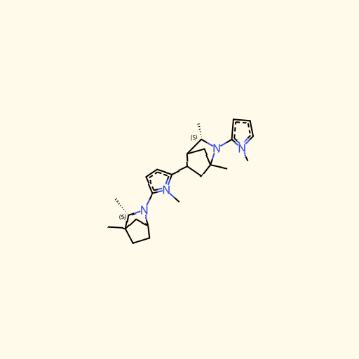 C[C@@H]1N(c2ccc(C3CC4(C)CC3[C@H](C)N4c3cccn3C)n2C)C2CCC1(C)C2